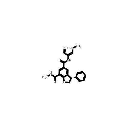 CN/C=C(\C=N)NC(=O)c1cc(C(=O)NC)c2c(c1)[C@H](c1ccccc1)CO2